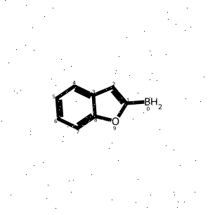 Bc1cc2ccccc2o1